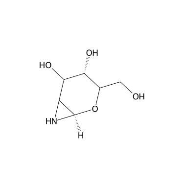 OCC1O[C@H]2NC2C(O)[C@@H]1O